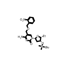 CC[C@H]1O[C@@H](n2cc(COCc3ccccc3[N+](=O)[O-])c(N)nc2=O)C[C@H]1O[Si](C)(C)C(C)(C)C